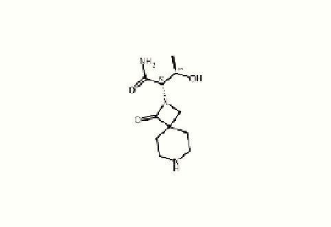 C[C@@H](O)[C@@H](C(N)=O)N1CC2(CCNCC2)C1=O